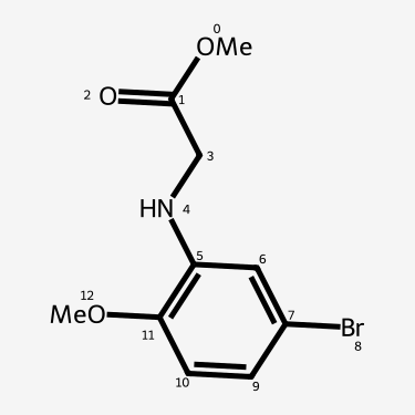 COC(=O)CNc1cc(Br)ccc1OC